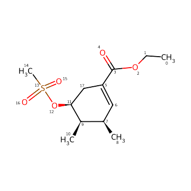 CCOC(=O)C1=C[C@@H](C)[C@@H](C)[C@@H](OS(C)(=O)=O)C1